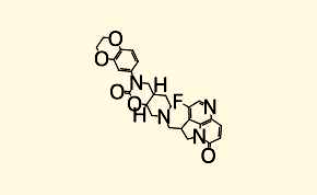 O=C1O[C@H]2CN(CC3Cn4c(=O)ccc5ncc(F)c3c54)CC[C@@H]2CN1c1ccc2c(c1)OCCO2